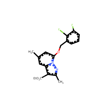 CCOC(=O)c1c(C)nn2c(OCc3cccc(F)c3F)cc(C)cc12